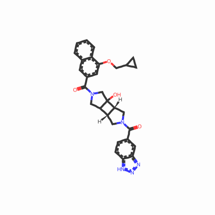 O=C(c1ccc2[nH]nnc2c1)N1C[C@@H]2C3CN(C(=O)c4cc(OCC5CC5)c5ccccc5c4)CC3(O)[C@@H]2C1